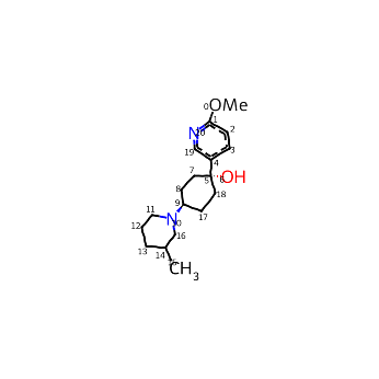 COc1ccc([C@]2(O)CC[C@H](N3CCCC(C)C3)CC2)cn1